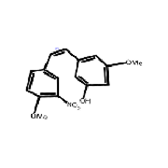 COc1cc(O)cc(/C=C\c2ccc(OC)c([N+](=O)[O-])c2)c1